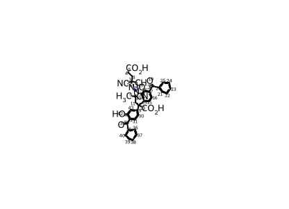 CC(C#N)(CCC(=O)O)/N=N/C(C)(C#N)CC(C(=O)O)(c1ccc(C(=O)c2ccccc2)c(O)c1)c1ccc(C(=O)c2ccccc2)c(O)c1